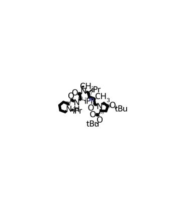 C/C(=C\[C@H](C(C)C)N(C)C(=O)[C@@H](NC(=O)[C@H]1CCCCN1C(C)C)C(C)C)C(=O)N1C[C@H](OC(C)(C)C)C[C@H]1C(=O)OC(C)(C)C